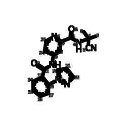 CC(C)(C#N)NC(=O)c1cc(NC(=O)c2ccccc2-n2cccn2)ccn1